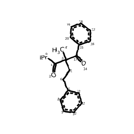 CC(C)C(=O)C(C)(CCc1ccccc1)C(=O)c1ccccc1